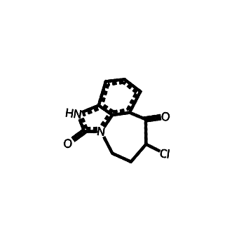 O=C1c2cccc3[nH]c(=O)n(c23)CCC1Cl